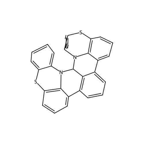 c1ccc2c(c1)Sc1cccc3c1N2C1c2c-3cccc2-c2cccc3c2N1c1ccccc1S3